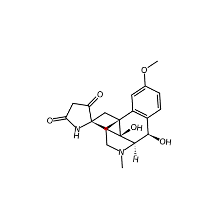 COc1ccc2c(c1)[C@]13CCN(C)[C@H]([C@@H]2O)[C@]1(O)CC[C@@]1(C3)NC(=O)CC1=O